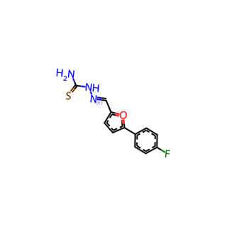 NC(=S)N/N=C/c1ccc(-c2ccc(F)cc2)o1